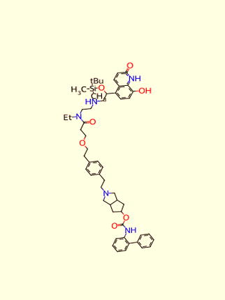 CCN(CCNCC(O[Si](C)(C)C(C)(C)C)c1ccc(O)c2[nH]c(=O)ccc12)C(=O)CCOCCc1ccc(CCN2CC3CC(OC(=O)Nc4ccccc4-c4ccccc4)CC3C2)cc1